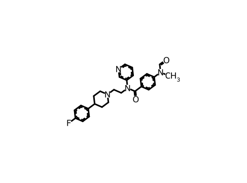 CN(C=O)c1ccc(C(=O)N(CCN2CCC(c3ccc(F)cc3)CC2)c2cccnc2)cc1